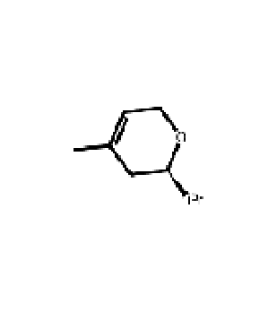 CC1=CCO[C@@H](C(C)C)C1